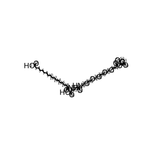 O=C(O)CCCCCCCCCCCCCCCCC(=O)NC(CCC(=O)NCCOCCOCCOCCOCCOCCC(=O)ON1C(=O)CCC1=O)C(=O)O